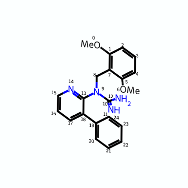 COc1cccc(OC)c1CN(C(=N)N)c1ncccc1-c1ccccc1